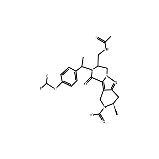 CC(=O)NCC1Cn2nc3c(c2C(=O)N1C(C)c1ccc(OC(F)F)cc1)CN(C(=O)O)[C@H](C)C3